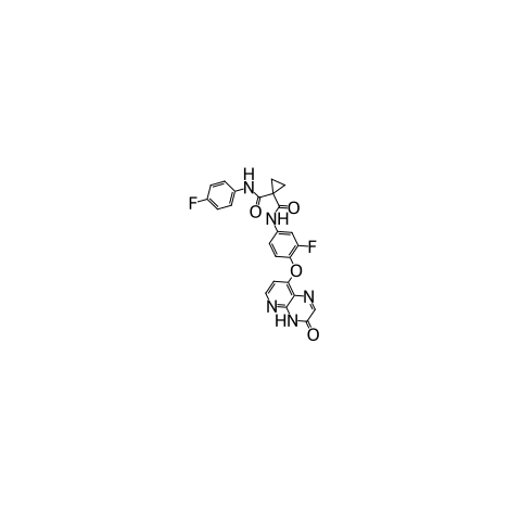 O=C(Nc1ccc(F)cc1)C1(C(=O)Nc2ccc(Oc3ccnc4[nH]c(=O)cnc34)c(F)c2)CC1